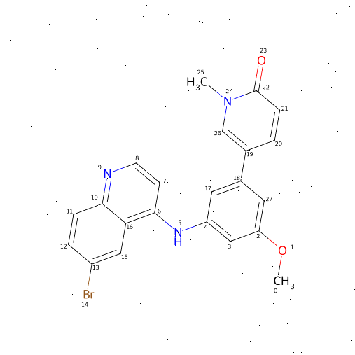 COc1cc(Nc2ccnc3ccc(Br)cc23)cc(-c2ccc(=O)n(C)c2)c1